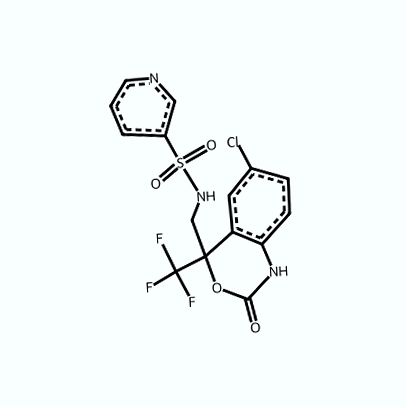 O=C1Nc2ccc(Cl)cc2C(CNS(=O)(=O)c2cccnc2)(C(F)(F)F)O1